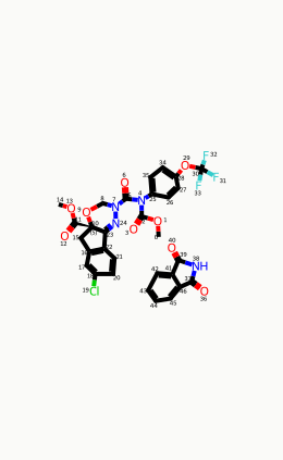 COC(=O)N(C(=O)N1CO[C@@]2(C(=O)OC)Cc3cc(Cl)ccc3C2=N1)c1ccc(OC(F)(F)F)cc1.O=C1NC(=O)c2ccccc21